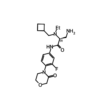 CCN(CC1CCC1)[C@@H](CN)C(=O)Nc1ccc(N2CCOCC2=O)c(F)c1